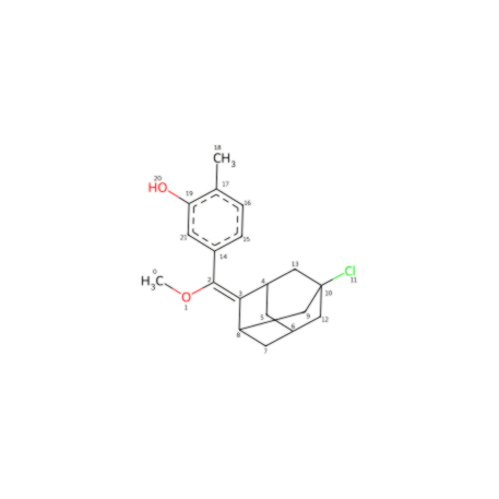 COC(=C1C2CC3CC1CC(Cl)(C3)C2)c1ccc(C)c(O)c1